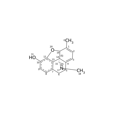 CC1=CC=C2C3Cc4ccc(O)c5c4[C@@]2(CCN3C)C1O5